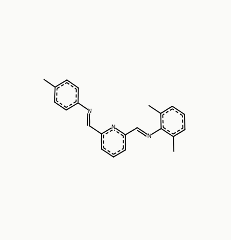 Cc1ccc(/N=C/c2cccc(/C=N/c3c(C)cccc3C)n2)cc1